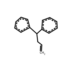 C=CC[C](c1ccccc1)c1ccccc1